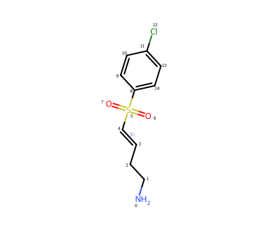 NCC/C=C/S(=O)(=O)c1ccc(Cl)cc1